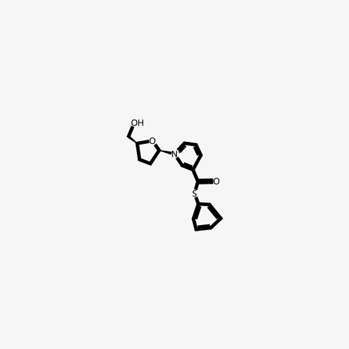 O=C(Sc1ccccc1)c1ccc[n+]([C@H]2CC[C@@H](CO)O2)c1